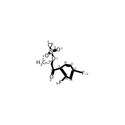 C[C@H](OS(=O)(=O)C(F)(F)F)C(=O)c1ccc(F)cc1F